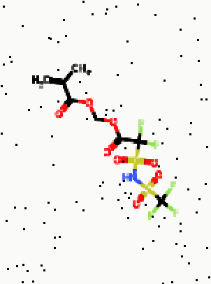 C=C(C)C(=O)OCOC(=O)C(F)(F)S(=O)(=O)NS(=O)(=O)C(F)(F)F